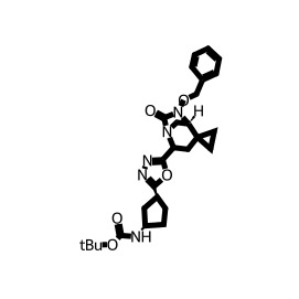 CC(C)(C)OC(=O)N[C@H]1CC[C@H](c2nnc(C3CC4(CC4)[C@H]4CN3C(=O)N4OCc3ccccc3)o2)C1